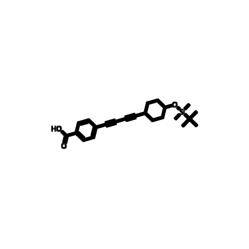 CC(C)(C)[Si](C)(C)OC1CCC(C#CC#Cc2ccc(C(=O)O)cc2)CC1